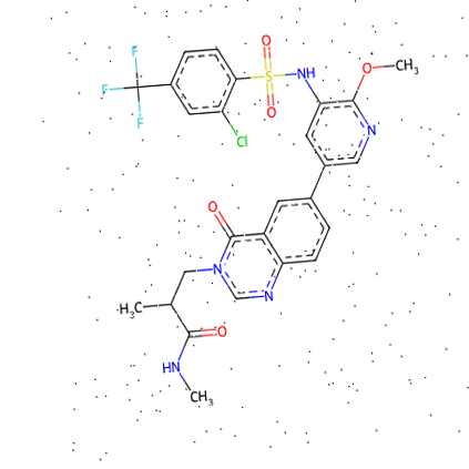 CNC(=O)C(C)Cn1cnc2ccc(-c3cnc(OC)c(NS(=O)(=O)c4ccc(C(F)(F)F)cc4Cl)c3)cc2c1=O